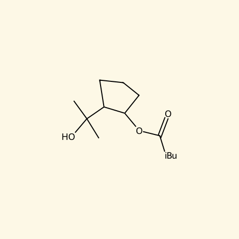 CCC(C)C(=O)OC1CCCC1C(C)(C)O